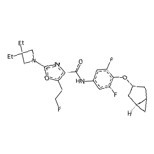 CCC1(CC)CN(c2nc(C(=O)Nc3cc(F)c(OC4CC5C[C@H]5C4)c(F)c3)c(CCF)o2)C1